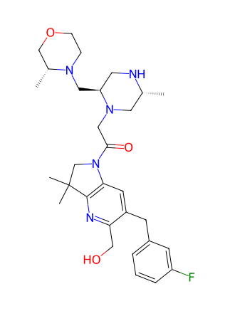 C[C@@H]1CN(CC(=O)N2CC(C)(C)c3nc(CO)c(Cc4cccc(F)c4)cc32)[C@@H](CN2CCOC[C@H]2C)CN1